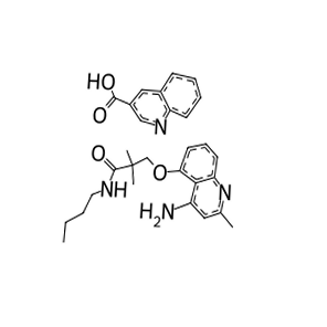 CCCCNC(=O)C(C)(C)COc1cccc2nc(C)cc(N)c12.O=C(O)c1cnc2ccccc2c1